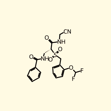 N#CCNC(=O)[C@@H](CNC(=O)c1ccccc1)S(=O)(=O)Cc1ccccc1OC(F)F